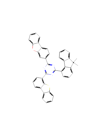 CC1(C)c2ccccc2-c2c(-c3nc(-c4ccc5c(c4)oc4ccccc45)nc(-c4cccc5c4sc4ccccc45)n3)cccc21